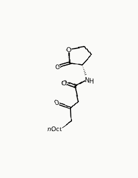 CCCCCCCCCC(=O)CC(=O)N[C@H]1CCOC1=O